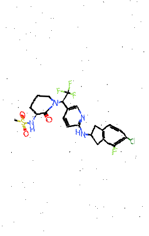 CS(=O)(=O)N[C@H]1CCCN(C(c2ccc(NC3Cc4ccc(Cl)c(F)c4C3)nc2)C(F)(F)F)C1=O